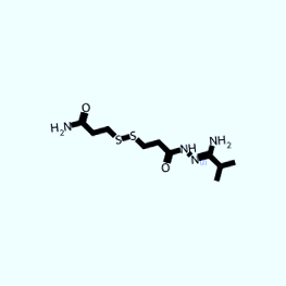 CC(C)/C(N)=N/NC(=O)CCSSCCC(N)=O